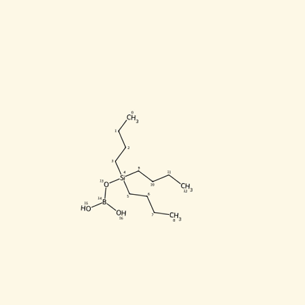 CCCC[Si](CCCC)(CCCC)OB(O)O